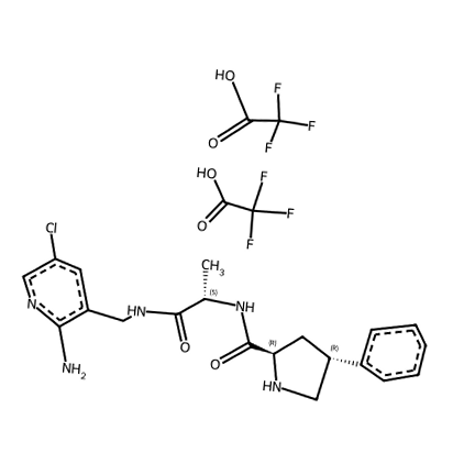 C[C@H](NC(=O)[C@H]1C[C@H](c2ccccc2)CN1)C(=O)NCc1cc(Cl)cnc1N.O=C(O)C(F)(F)F.O=C(O)C(F)(F)F